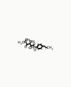 CCCc1ccc(NC(=O)[C@H](O)[C@@H](O)C(=O)N(C)C)cc1